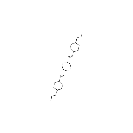 CCCC1CCC(C=CC2CCC(C=CC3CCC(CCC)CC3)CC2)CC1